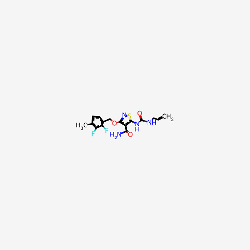 C=CCNC(=O)Nc1snc(OCc2ccc(C)c(F)c2F)c1C(N)=O